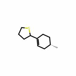 C[C@@H]1CC=C(C2CCCS2)CC1